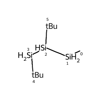 C[SiH2][SiH]([SiH2]C(C)(C)C)C(C)(C)C